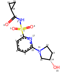 O=C(NS(=O)(=O)c1cccc(N2CC[C@H](O)C2)n1)C1CC1